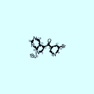 CC(C)(C)n1cc(C(=O)c2cncc(Br)c2)c2cncnc21